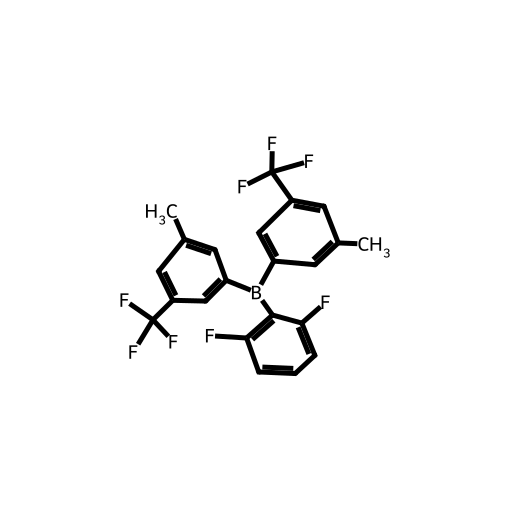 Cc1cc(B(c2cc(C)cc(C(F)(F)F)c2)c2c(F)cccc2F)cc(C(F)(F)F)c1